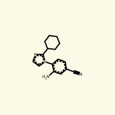 N#Cc1ccc(-n2ccnc2C2CCCCC2)c(N)c1